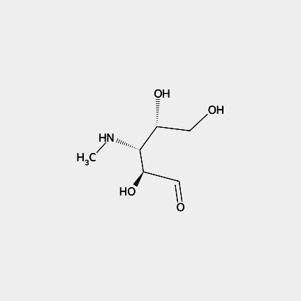 CN[C@@H]([C@H](O)C=O)[C@H](O)CO